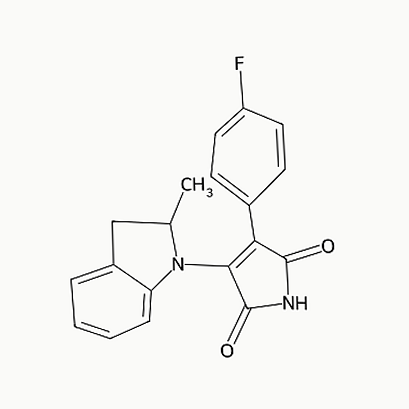 CC1Cc2ccccc2N1C1=C(c2ccc(F)cc2)C(=O)NC1=O